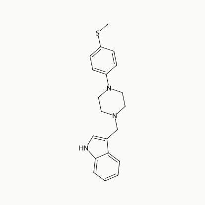 CSc1ccc(N2CCN(Cc3c[nH]c4ccccc34)CC2)cc1